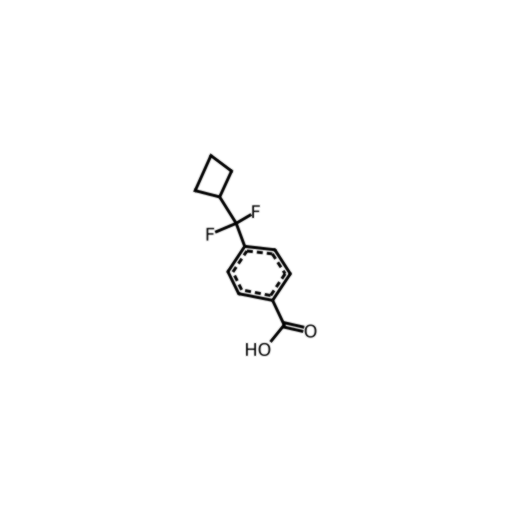 O=C(O)c1ccc(C(F)(F)C2CCC2)cc1